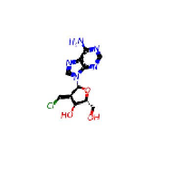 Nc1ncnc2c1ncn2[C@@H]1O[C@H](CO)[C@@H](O)C1=CCl